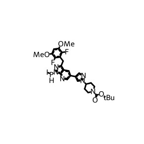 COc1cc(OC)c(F)c(Cc2nn(PI)c3ncc(-c4cnn(C5CCN(C(=O)OC(C)(C)C)CC5)c4)cc23)c1F